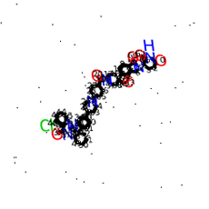 O=C1CC[C@H](N2Cc3c(ccc4c3OCC43CCN(C(=O)C4CCC(N5CCC(c6ccc7c(c6)-n6c(nc(=O)c8c(Cl)cccc86)C76CCCCC6)CC5)CC4)CC3)C2=O)C(=O)N1